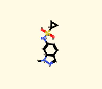 Cn1ncc2ccc(NS(=O)(=O)C3CC3)cc21